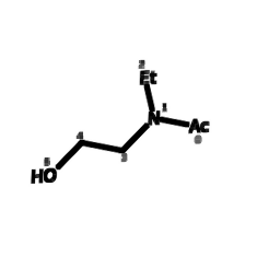 [CH2]C(=O)N(CC)CCO